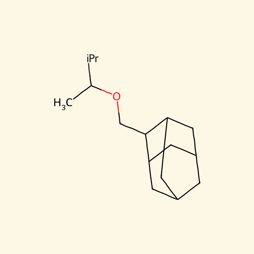 CC(C)C(C)OCC1C2CC3CC(C2)CC1C3